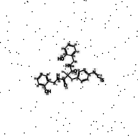 CC(Cc1ccc(N=C=S)cc1)(C(=O)NCc1ccccc1O)C(=O)NCc1ccccc1O